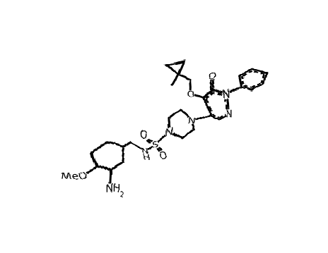 COC1CCC(CNS(=O)(=O)N2CCN(c3cnn(-c4ccccc4)c(=O)c3OCC3(C)CC3)CC2)CC1N